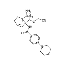 N#CCOC(=O)C1(NC(=O)c2ccc(N3CCOCC3)cc2)CC2CCC1(C(N)=O)C2